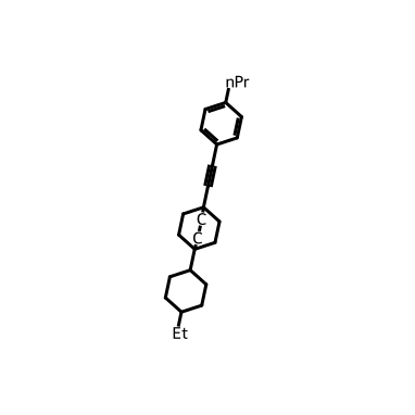 CCCc1ccc(C#CC23CCC(C4CCC(CC)CC4)(CC2)CC3)cc1